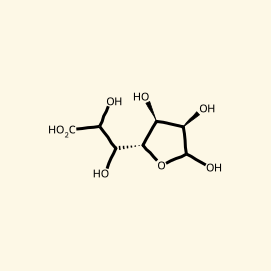 O=C(O)C(O)C(O)[C@H]1OC(O)[C@H](O)[C@@H]1O